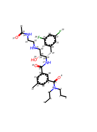 CCCN(CCC)C(=O)c1cc(C)cc(C(=O)N[C@@H](Cc2cc(F)cc(F)c2)[C@H](O)CNCCNC(C)=O)c1